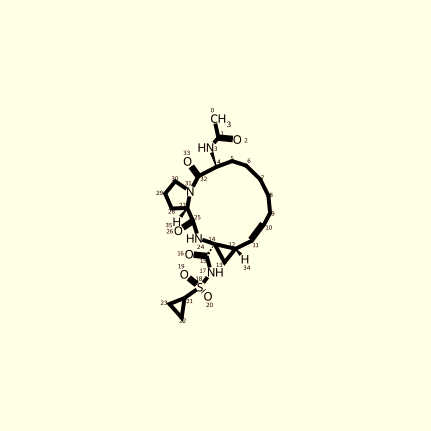 CC(=O)N[C@H]1CCCCC/C=C\[C@@H]2C[C@@]2(C(=O)NS(=O)(=O)C2CC2)NC(=O)[C@@H]2CCCN2C1=O